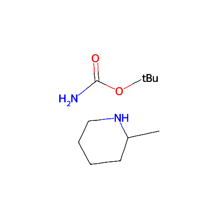 CC(C)(C)OC(N)=O.CC1CCCCN1